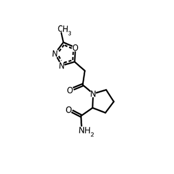 Cc1nnc(CC(=O)N2CCCC2C(N)=O)o1